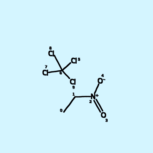 CC[N+](=O)[O-].ClC(Cl)(Cl)Cl